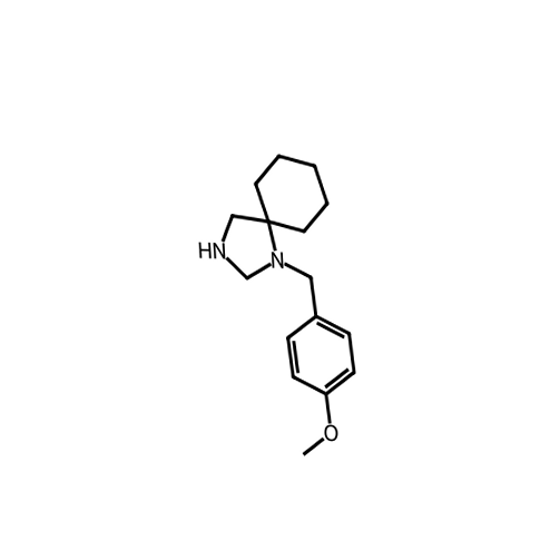 COc1ccc(CN2CNCC23CCCCC3)cc1